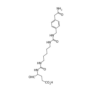 NC(=O)Cc1ccc(CNC(=O)NCCCCCNC(=O)NC(C=O)CCC(=O)O)cc1